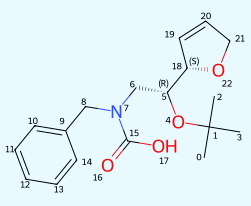 CC(C)(C)O[C@H](CN(Cc1ccccc1)C(=O)O)[C@@H]1C=CCO1